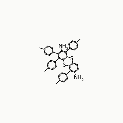 Cc1ccc(-c2c(N)ccc3c2Sc2c(c(-c4ccc(C)cc4)c(N)c(-c4ccc(C)cc4)c2-c2ccc(C)cc2)S3)cc1